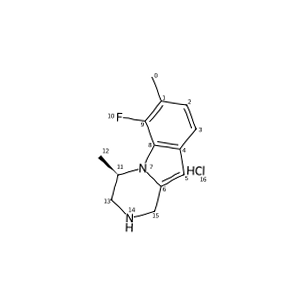 Cc1ccc2cc3n(c2c1F)[C@H](C)CNC3.Cl